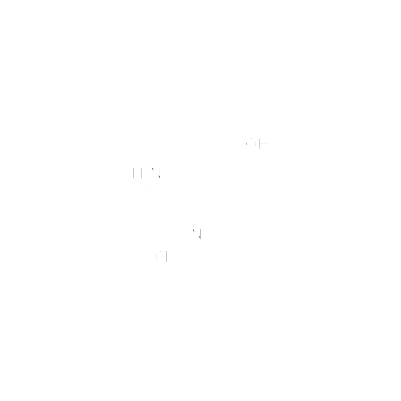 Nc1cc(Cl)nc2ccc(O)cc12